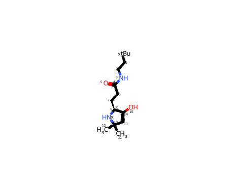 CC(C)(C)CCNC(=O)CC[C@@H]1NC(C)(C)C=C1O